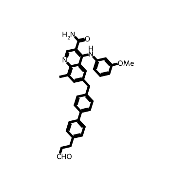 COc1cccc(Nc2c(C(N)=O)cnc3c(C)cc(Cc4ccc(-c5ccc(CCC=O)cc5)cc4)cc23)c1